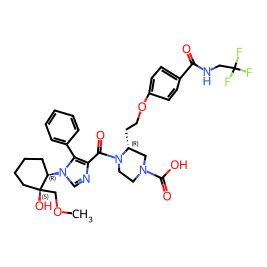 COC[C@]1(O)CCCC[C@H]1n1cnc(C(=O)N2CCN(C(=O)O)C[C@H]2CCOc2ccc(C(=O)NCC(F)(F)F)cc2)c1-c1ccccc1